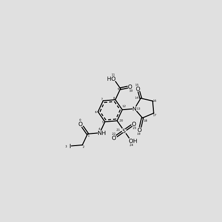 O=C(CI)Nc1ccc(C(=O)O)c(N2C(=O)CCC2=O)c1S(=O)(=O)O